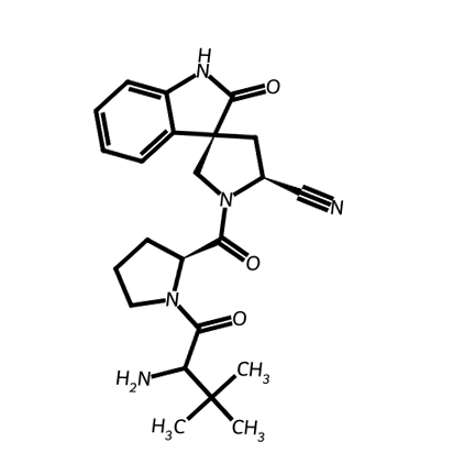 CC(C)(C)C(N)C(=O)N1CCC[C@H]1C(=O)N1C[C@]2(C[C@H]1C#N)C(=O)Nc1ccccc12